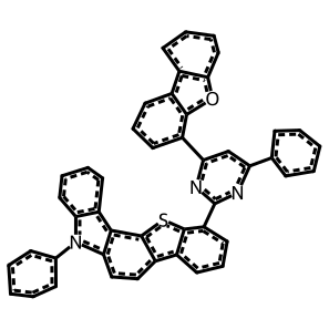 c1ccc(-c2cc(-c3cccc4c3oc3ccccc34)nc(-c3cccc4c3sc3c4ccc4c3c3ccccc3n4-c3ccccc3)n2)cc1